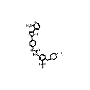 CN1CCN(Cc2ccc(NC(=O)Nc3ccc(-c4ncc(-c5cccnc5N)[nH]4)cc3)cc2C(F)(F)F)CC1